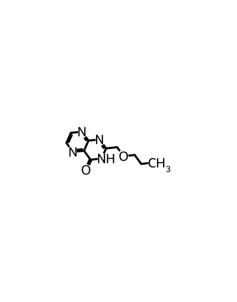 CCCOCc1nc2nccnc2c(=O)[nH]1